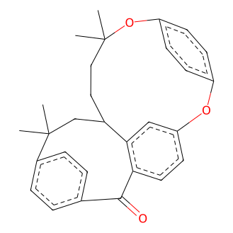 CC1(C)CCC2CC(C)(C)c3ccc(cc3)C(=O)c3ccc(cc32)Oc2ccc(cc2)O1